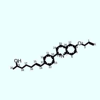 C=CCOc1ccc2nc(-c3ccc(C=CCCCC(C)O)cc3)ccc2c1